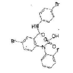 O=C(Nc1ccc(Br)cc1)c1cc(Br)ccc1N(c1ccccc1F)S(=O)(=O)O